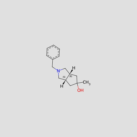 CC1(O)C[C@H]2CN(Cc3ccccc3)C[C@H]2C1